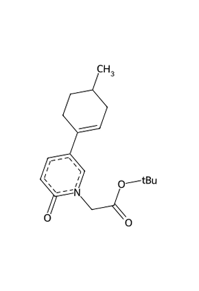 CC1CC=C(c2ccc(=O)n(CC(=O)OC(C)(C)C)c2)CC1